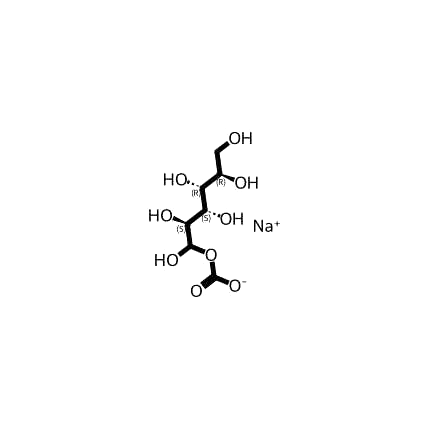 O=C([O-])OC(O)[C@@H](O)[C@@H](O)[C@H](O)[C@H](O)CO.[Na+]